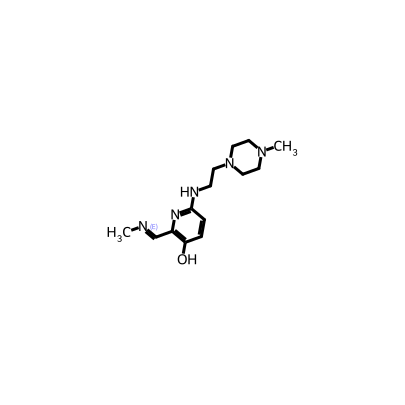 C/N=C/c1nc(NCCN2CCN(C)CC2)ccc1O